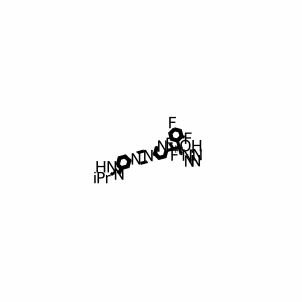 CC(C)c1nc2cc(N3CCN(c4ccc(C(F)(F)[C@](O)(Cn5cnnn5)c5ccc(F)cc5F)nc4)CC3)ccc2[nH]1